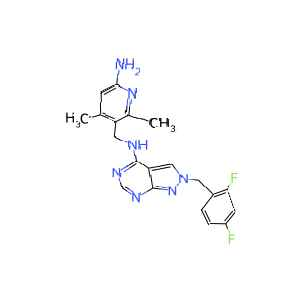 Cc1cc(N)nc(C)c1CNc1ncnc2nn(Cc3ccc(F)cc3F)cc12